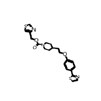 O=C(OCc1cscn1)N1CCC(CCOc2ccc(-c3nccs3)cc2)CC1